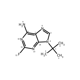 CC(C)(C)n1cnc2c(N)nc(F)nc21